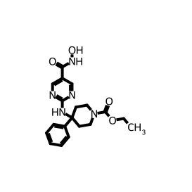 CCOC(=O)N1CCC(Nc2ncc(C(=O)NO)cn2)(c2ccccc2)CC1